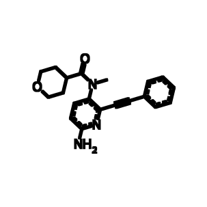 CN(C(=O)C1CCOCC1)c1ccc(N)nc1C#Cc1ccccc1